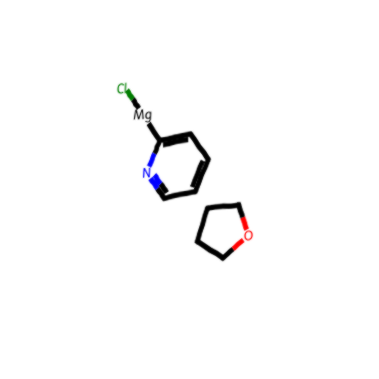 C1CCOC1.[Cl][Mg][c]1ccccn1